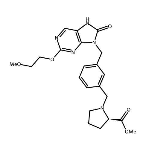 COCCOc1ncc2[nH]c(=O)n(Cc3cccc(CN4CCC[C@@H]4C(=O)OC)c3)c2n1